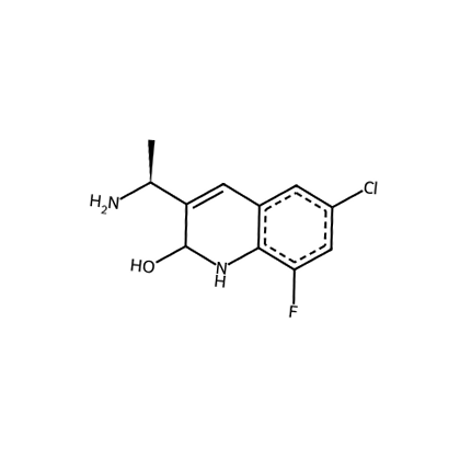 C[C@H](N)C1=Cc2cc(Cl)cc(F)c2NC1O